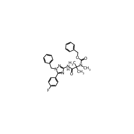 CN(C(=O)OCc1ccccc1)C(C)(C)C(=O)Nc1nc(-c2ccc(F)cc2)n(Cc2ccccc2)n1